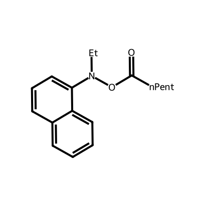 CCCCCC(=O)ON(CC)c1cccc2ccccc12